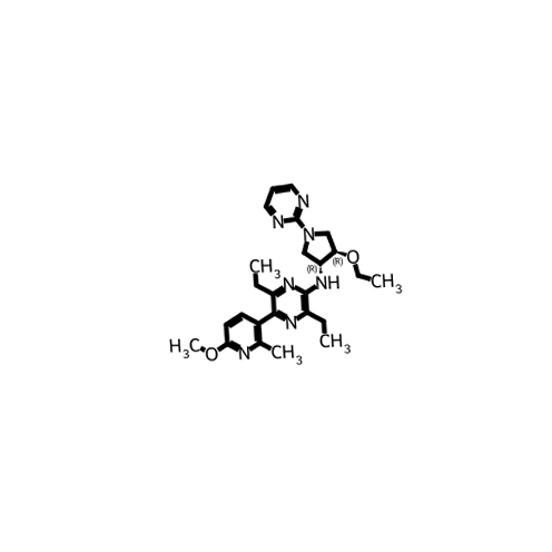 CCO[C@@H]1CN(c2ncccn2)C[C@H]1Nc1nc(CC)c(-c2ccc(OC)nc2C)nc1CC